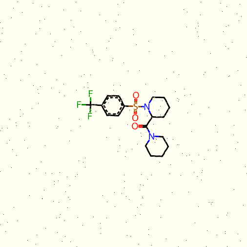 O=C(C1CCCCN1S(=O)(=O)c1ccc(C(F)(F)F)cc1)N1CCCCC1